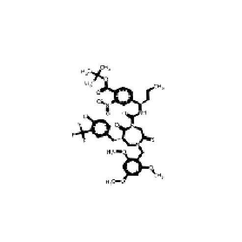 CCC[C@@H](NC(=O)N1CC(=S)N(Cc2c(OC)cc(OC)cc2OC)C[C@H](Cc2ccc(Cl)c(C(F)(F)F)c2)C1=O)c1ccc(C(=O)OC(C)(C)C)c([N+](=O)[O-])c1